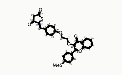 CSc1ccc(-c2oc3ccccc3c(=O)c2OCCOc2ccc(/C=C3\SC(=O)CC3=O)cc2)cc1